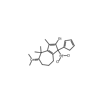 CCC1=C(C)C2=C(CCC[C](=[Ge]([CH3])[CH3])C2(C)C)[C]1(C1=CC=CC1)[Hf]([Cl])[Cl]